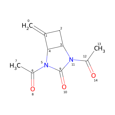 C=C1CC2C1N(C(C)=O)C(=O)N2C(C)=O